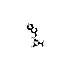 CCC(CNc1nc(Cl)nc(C(C)F)n1)Cc1ccncc1